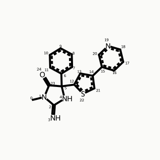 CN1C(=N)NC(c2ccccc2)(c2cc(-c3cccnc3)cs2)C1=O